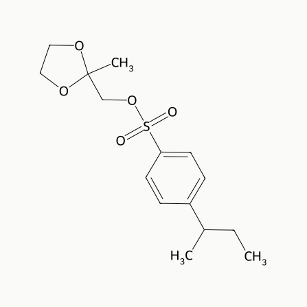 CCC(C)c1ccc(S(=O)(=O)OCC2(C)OCCO2)cc1